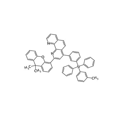 Cc1cccc([Si](c2ccccc2)(c2ccccc2)c2cccc(-c3cc(-c4cccc5c4Oc4ccccc4C5(C)C)nc4c3ccc3cccnc34)c2)c1